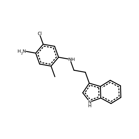 Cc1cc(N)c(Cl)cc1NCCc1c[nH]c2ccccc12